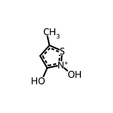 Cc1cc(O)[n+](O)s1